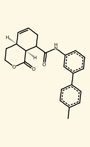 Cc1ccc(-c2cccc(NC(=O)C3CC=C[C@@H]4CCOC(=O)[C@H]34)c2)cc1